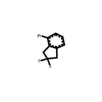 CC(C)c1cccc2c1CC(F)(F)C2